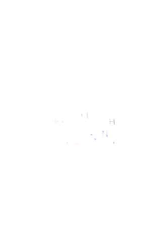 C/C(=N\N(C)C)C(O)O